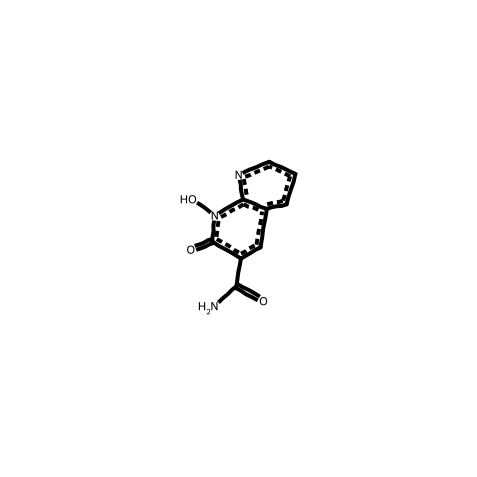 NC(=O)c1cc2cccnc2n(O)c1=O